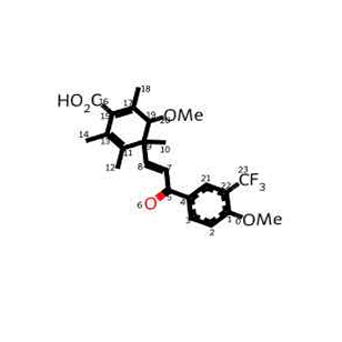 COc1ccc(C(=O)C=CC2(C)C(C)=C(C)C(C(=O)O)=C(C)C2OC)cc1C(F)(F)F